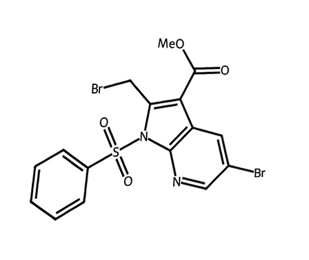 COC(=O)c1c(CBr)n(S(=O)(=O)c2ccccc2)c2ncc(Br)cc12